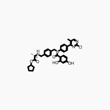 Cc1cnc(Cl)nc1-c1ccc(N(Cc2ccc(CN[C@@H](C)C(=O)OC3CCCC3)cc2)C(=O)c2ccc(O)cc2O)cc1